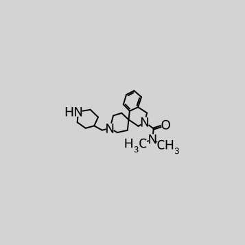 CN(C)C(=O)N1Cc2ccccc2C2(CCN(CC3CCNCC3)CC2)C1